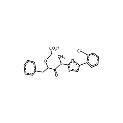 CN(C(=O)C(Cc1ccccc1)OCC(=O)O)c1nc(-c2ccccc2Cl)cs1